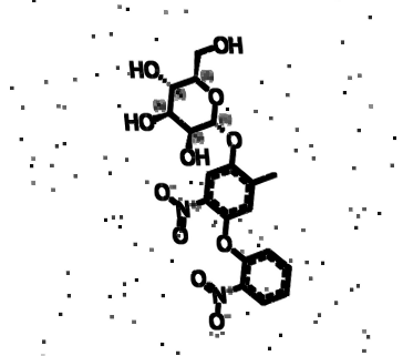 Cc1cc(Oc2ccccc2[N+](=O)[O-])c([N+](=O)[O-])cc1O[C@H]1O[C@H](CO)[C@@H](O)[C@H](O)[C@@H]1O